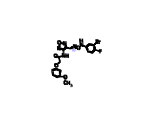 COc1cccc(OCC(=O)Nc2nonc2/C=N/ONc2ccc(F)c(Br)c2)c1